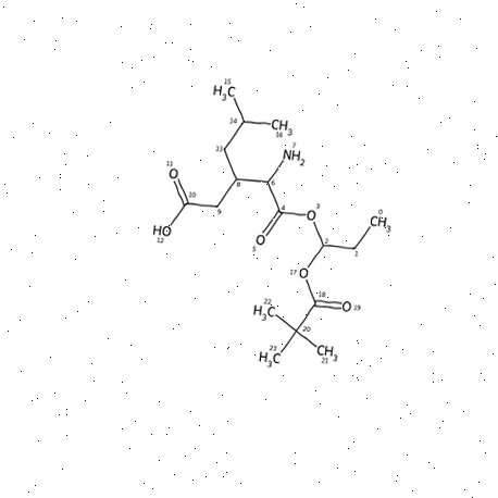 CCC(OC(=O)C(N)C(CC(=O)O)CC(C)C)OC(=O)C(C)(C)C